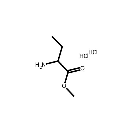 CCC(N)C(=O)OC.Cl.Cl